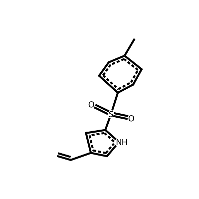 C=Cc1c[nH]c(S(=O)(=O)c2ccc(C)cc2)c1